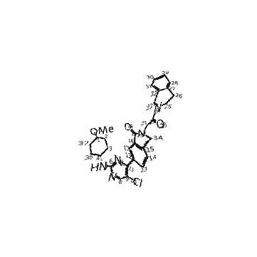 CO[C@H]1CC[C@H](Nc2ncc(Cl)c(-c3ccc4c(c3)C(=O)N(CC(=O)N3CCc5ccccc5C3)C4)n2)CC1